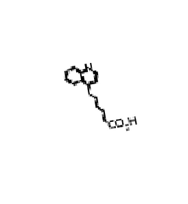 O=C(O)CCCCCc1ccnc2ccccc12